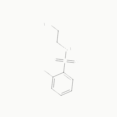 O=S(=O)(NCCO)c1ccccc1Cl